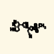 CCS(=O)(=O)N1CC(CC#N)(n2cc(-c3cnnc4c3CCN4)cn2)C1